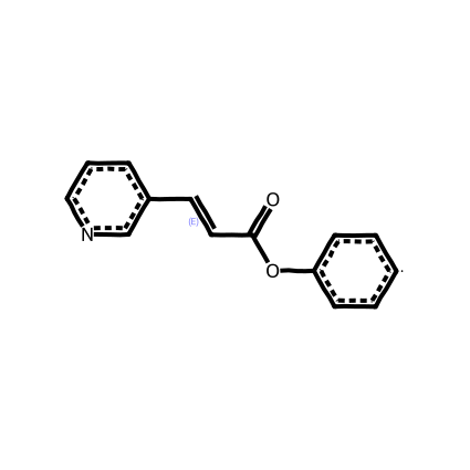 O=C(/C=C/c1cccnc1)Oc1cc[c]cc1